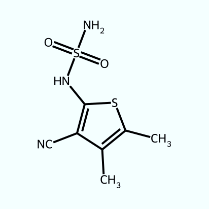 Cc1sc(NS(N)(=O)=O)c(C#N)c1C